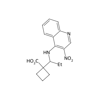 CCC(Nc1c([N+](=O)[O-])cnc2ccccc12)C1(C(=O)O)CCC1